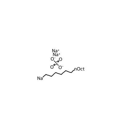 CCCCCCCCCCCCC[CH2][Na].O=S(=O)([O-])[O-].[Na+].[Na+]